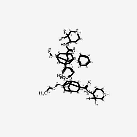 C=C(/C=C\C(=C/C)C12CC3(C(=O)NC4CCNCC4(F)F)C[C@](CF)(C1)C[C@@](c1ccccc1)(C3)C2)[C@]12CC3CC(C(=O)NC4CCNCC4(F)F)(C[C@](COCC)(C3)C1)C2